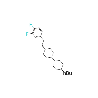 CCCC[C@H]1CC[C@H]([C@H]2CC[C@H](CCc3ccc(F)c(F)c3)CC2)CC1